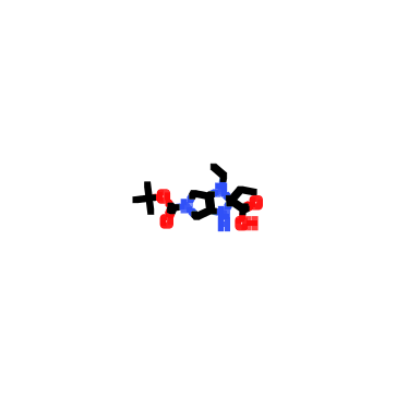 CCN1C2=C(CN(C(=O)OC(C)(C)C)C2)NC1(CC)C(=O)O